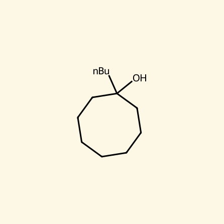 CCCCC1(O)CCCCCCC1